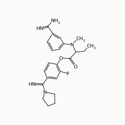 CCC(C(=O)Oc1ccc(C(=N)N2CCCC2)cc1F)N(C)c1cccc(C(=N)N)c1